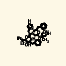 CC[C@@H](C[C@H](O)[C@H](CC1CCCCC1)NC(=O)[C@H](Cc1c[nH]cn1)N(CCCc1ccccc1)CC(=O)NC(C)(CO)CO)C(C)C